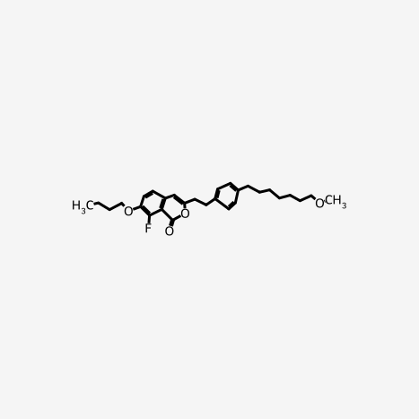 CCCCOc1ccc2cc(CCc3ccc(CCCCCCCOC)cc3)oc(=O)c2c1F